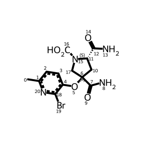 Cc1ccc(O[C@]2(C(N)=O)C[C@@H](C(N)=O)N(C(=O)O)C2)c(Br)n1